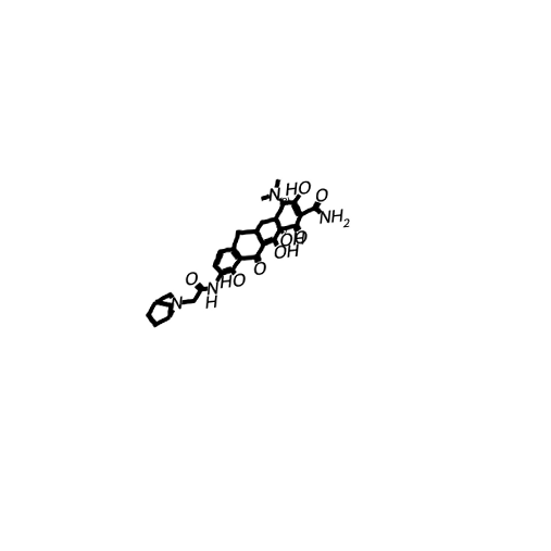 CN(C)[C@H]1C(O)=C(C(N)=O)C(=O)[C@]2(O)C(O)=C3C(=O)c4c(ccc(NC(=O)CN5CC6CCC5C6)c4O)CC3CC12